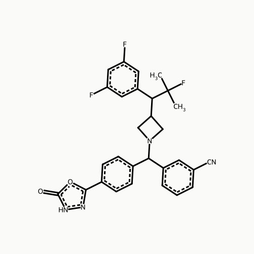 CC(C)(F)C(c1cc(F)cc(F)c1)C1CN(C(c2ccc(-c3n[nH]c(=O)o3)cc2)c2cccc(C#N)c2)C1